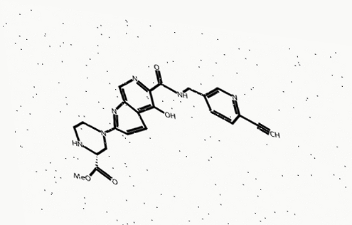 C#Cc1ccc(CNC(=O)c2ncc3nc(N4CCN[C@@H](C(=O)OC)C4)ccc3c2O)cn1